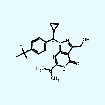 CN(C)c1nc2c(c(CO)nn2[C@@H](c2ccc(C(F)(F)F)cc2)C2CC2)c(=O)[nH]1